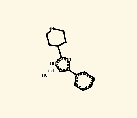 Cl.Cl.c1ccc(-c2c[nH]c(C3CCNCC3)n2)cc1